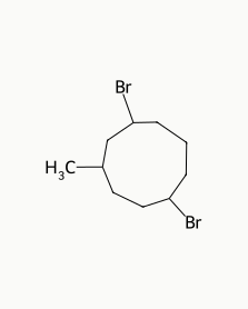 CC1CCC(Br)CCCC(Br)C1